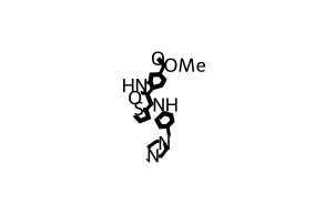 COC(=O)c1ccc2c(c1)NC(=O)C2=C(Nc1ccc(CN2CCN(C)CC2)cc1)c1cccs1